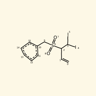 C=CC(C(I)I)S(=O)(=O)Cc1ccccc1